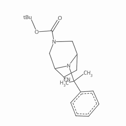 CC(C)(C)OC(=O)N1CC2CC(C#N)C(C1)N2C(C)(C)c1ccccc1